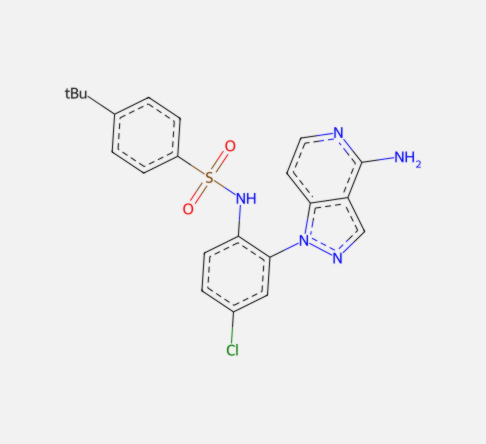 CC(C)(C)c1ccc(S(=O)(=O)Nc2ccc(Cl)cc2-n2ncc3c(N)nccc32)cc1